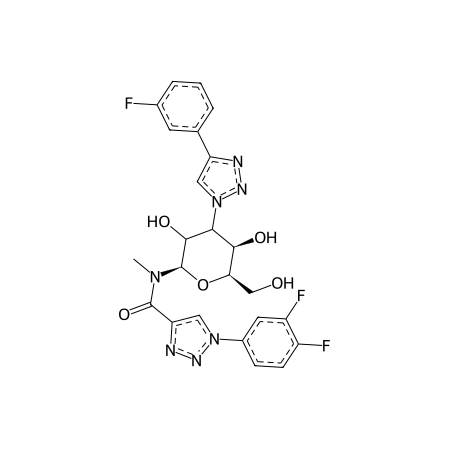 CN(C(=O)c1cn(-c2ccc(F)c(F)c2)nn1)[C@@H]1O[C@H](CO)[C@H](O)C(n2cc(-c3cccc(F)c3)nn2)C1O